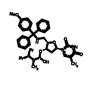 COc1ccc(C(NC[C@H]2O[C@@H](n3cc(C)c(=O)[nH]c3=O)C[C@@H]2OP(O)N(C)N(C(C)C)C(C)C)(c2ccccc2)c2ccccc2)cc1